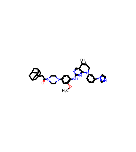 COc1cc(N2CCN(C(=O)CC34CC5CC(CC(C5)C3)C4)CC2)ccc1Nc1ncc2c(n1)N(c1cccc(-n3ccnc3)c1)CC=C2C